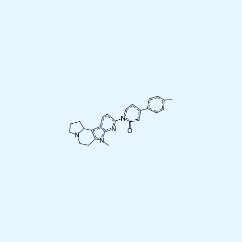 Cc1ccc(-c2ccn(-c3ccc4c5c(n(C)c4n3)CCN3CCCC53)c(=O)c2)cc1